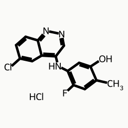 Cc1cc(F)c(Nc2cnnc3ccc(Cl)cc23)cc1O.Cl